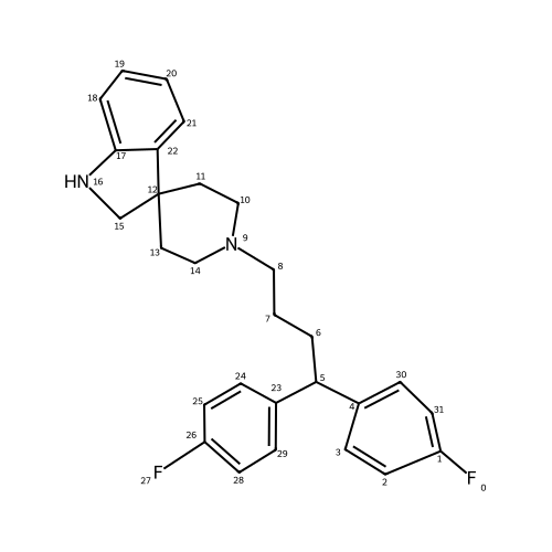 Fc1ccc(C(CCCN2CCC3(CC2)CNc2ccccc23)c2ccc(F)cc2)cc1